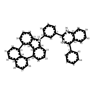 c1ccc(-c2nc(-c3cccc(-n4c5cccc6c5c5c(cccc54)-c4cccc5cccc-6c45)c3)nc3ccccc23)cc1